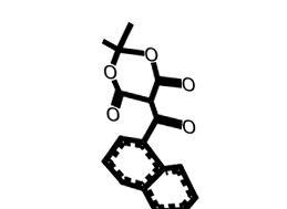 CC1(C)OC(=O)C(C(=O)c2cccc3ccccc23)C(=O)O1